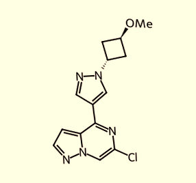 CO[C@H]1C[C@H](n2cc(-c3nc(Cl)cn4nccc34)cn2)C1